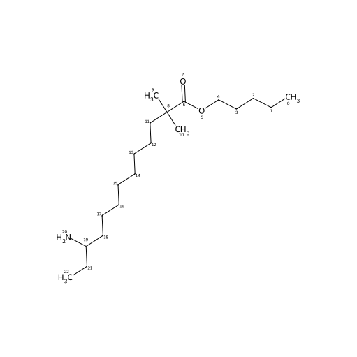 CCCCCOC(=O)C(C)(C)CCCCCCCCC(N)CC